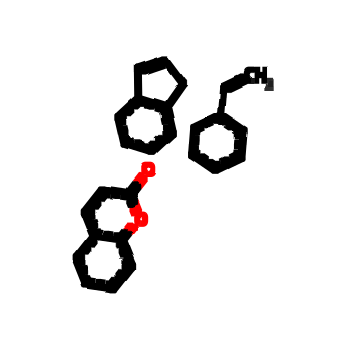 C1=Cc2ccccc2C1.C=Cc1ccccc1.O=c1ccc2ccccc2o1